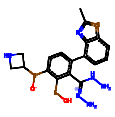 Cc1nc2c(-c3ccc([S+]([O-])C4CNC4)c(SO)c3/C(=N/N)NN)cccc2s1